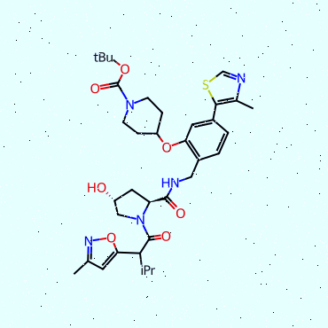 Cc1cc(C(C(=O)N2C[C@H](O)C[C@H]2C(=O)NCc2ccc(-c3scnc3C)cc2OC2CCN(C(=O)OC(C)(C)C)CC2)C(C)C)on1